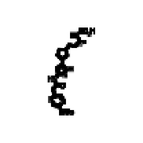 COc1cnc(CC(=O)Nc2cc(C3CCC(CC[C@H](C)NC(=O)O)C3)[nH]n2)cn1